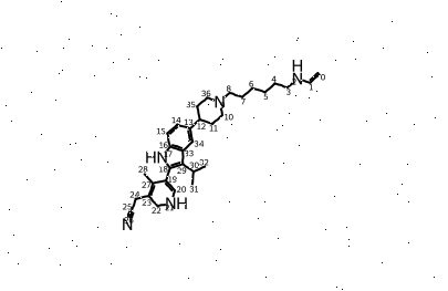 C=CNCCCCCCN1CCC(c2ccc3[nH]c(C4=CNCC(CC#N)=C4C)c(C(C)C)c3c2)CC1